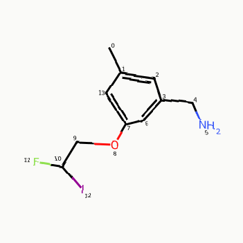 Cc1cc(CN)cc(OCC(F)I)c1